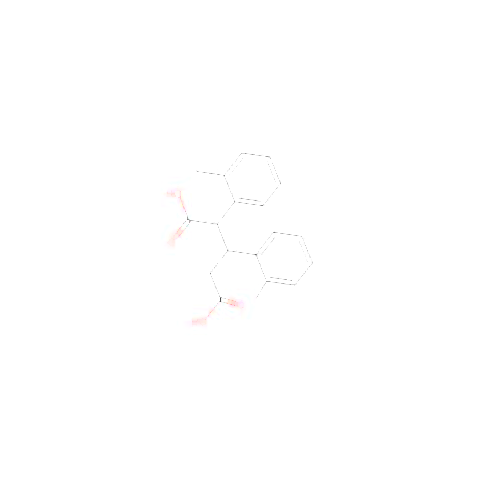 Cc1ccccc1C(CC(=O)O)C(C(=O)O)c1ccccc1C